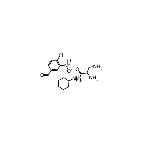 NC1CCCCC1.NCC(N)C(=O)O.O=Cc1ccc(Cl)c([N+](=O)[O-])c1